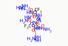 N=C(N)NCCCCC(=O)Nc1cc(C(F)(F)F)cc(NC(=O)c2cc(C(=O)Nc3cc(C(F)(F)F)cc(NC(=O)CCCCNC(=N)N)c3SCCNC(=O)CN)ncn2)c1SCCNC(=O)CN